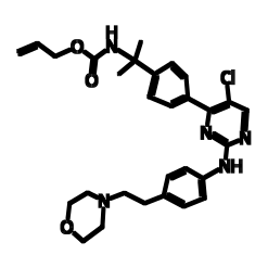 C=CCOC(=O)NC(C)(C)c1ccc(-c2nc(Nc3ccc(CCN4CCOCC4)cc3)ncc2Cl)cc1